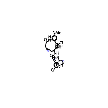 CNc1ccc2c(c1)NC(=O)CC/C=C/C[C@H](NC(=O)/C=C/c1cc(Cl)cnc1N(N)/C=N\N)c1nc-2c(Cl)[nH]1